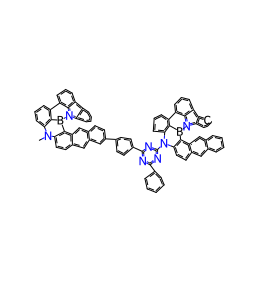 CN1c2cccc3c2B(c2c1ccc1cc4cc(-c5ccc(-c6nc(-c7ccccc7)nc(N7c8cccc9c8B(c8c7ccc7cc%10ccccc%10cc87)n7c8ccccc8c8cccc-9c87)n6)cc5)ccc4cc21)n1c2ccccc2c2cccc-3c21